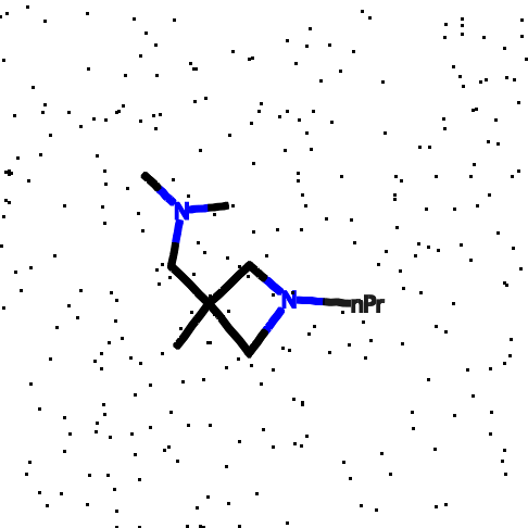 CCCN1CC(C)(CN(C)C)C1